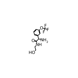 NC(C(=O)NCCO)c1cccc(OC(F)(F)F)c1